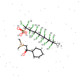 C[S+](C)CC(=O)C1CCCCC1.O=S(=O)([O-])C(F)(F)C(F)(F)C(F)(F)C(F)(F)C(F)(F)C(F)(F)C(F)(F)C(F)(F)F